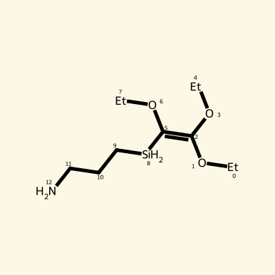 CCOC(OCC)=C(OCC)[SiH2]CCCN